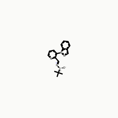 CC(C)(C)[S@+]([O-])/N=C/c1ncccc1-n1ncc2ccccc21